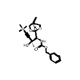 CC12COC([C@@H](NC(=O)OCc3ccccc3)[C@@](C)(O)C#C[Si](C)(C)C)(OC1)OC2